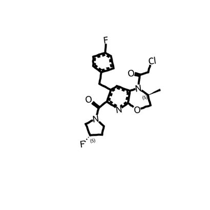 C[C@H]1COc2nc(C(=O)N3CC[C@H](F)C3)c(Cc3ccc(F)cc3)cc2N1C(=O)CCl